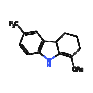 CC(=O)OC1=C2Nc3ccc(C(F)(F)F)cc3C2CCC1